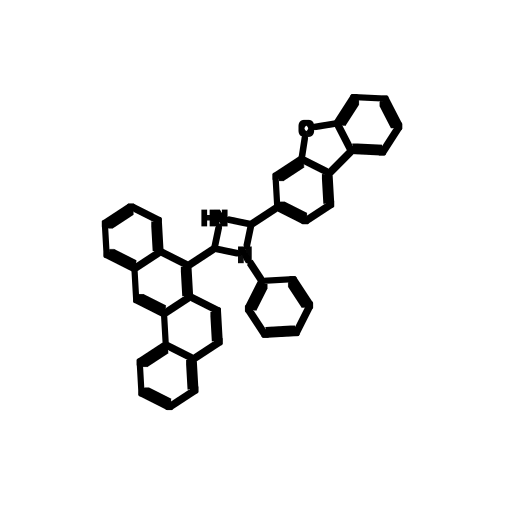 c1ccc(N2C(c3ccc4c(c3)oc3ccccc34)NC2c2c3ccccc3cc3c2ccc2ccccc23)cc1